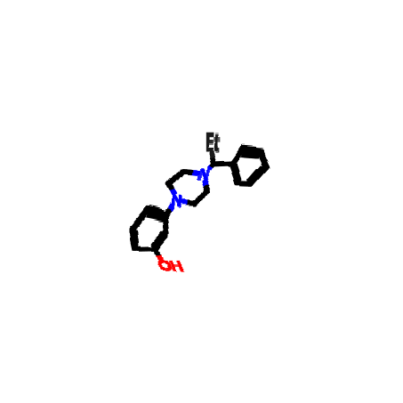 CCC(c1ccccc1)N1CCN(c2cccc(O)c2)CC1